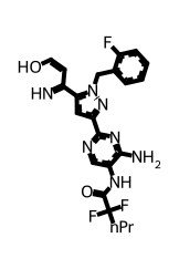 CCCC(F)(F)C(=O)Nc1cnc(-c2cc(C(=N)/C=C\O)n(Cc3ccccc3F)n2)nc1N